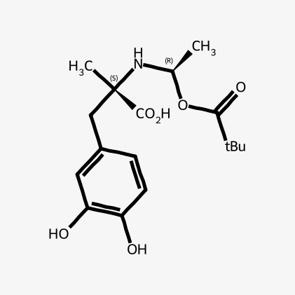 C[C@H](N[C@@](C)(Cc1ccc(O)c(O)c1)C(=O)O)OC(=O)C(C)(C)C